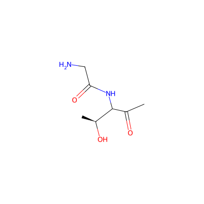 CC(=O)C(NC(=O)CN)[C@H](C)O